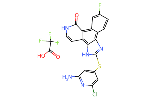 Nc1cc(Sc2nc3c4ccc(F)cc4c4c(=O)[nH]ccc4c3[nH]2)cc(Cl)n1.O=C(O)C(F)(F)F